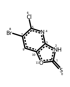 S=c1[nH]c2nc(Cl)c(Br)cc2o1